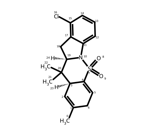 CC1=C[C@@H]2C(=CC1)S(=O)(=O)N1c3cccc(Cl)c3C[C@@H]1C2(C)C